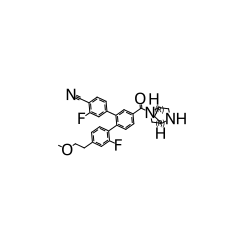 COCCc1ccc(-c2ccc(C(=O)N3C[C@H]4C[C@@H]3CN4)cc2-c2ccc(C#N)c(F)c2)c(F)c1